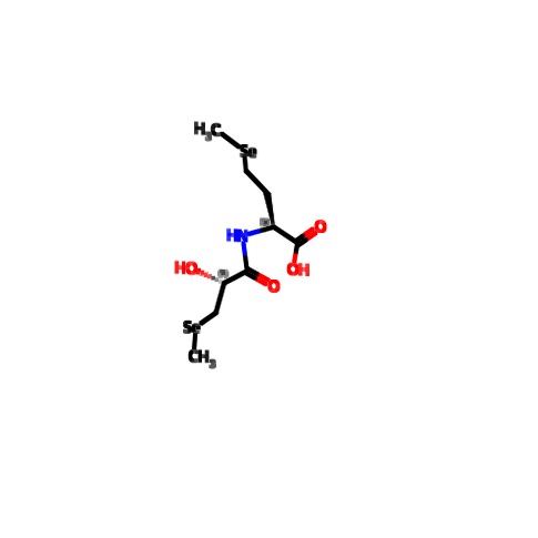 C[Se]CC[C@H](NC(=O)[C@@H](O)C[Se]C)C(=O)O